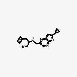 OCC(CC12CC(C1)C2)NCc1cnc2oc(C3CC3)cc2n1